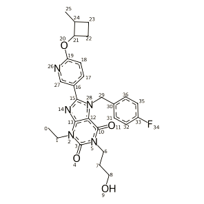 CCn1c(=O)n(CCCO)c(=O)c2c1nc(-c1ccc(OC3CCC3C)nc1)n2Cc1ccc(F)cc1